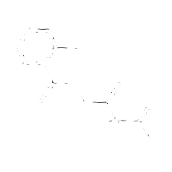 CC(=O)NC(=O)CSC(=O)c1ccccc1F